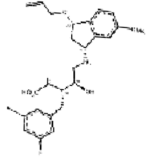 C=CCO[C@H]1C[C@@H](NC[C@@H](O)[C@H](Cc2cc(F)cc(F)c2)NC(=O)O)c2cc(OC)ccc21